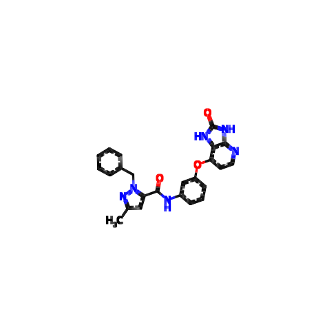 Cc1cc(C(=O)Nc2cccc(Oc3ccnc4[nH]c(=O)[nH]c34)c2)n(Cc2ccccc2)n1